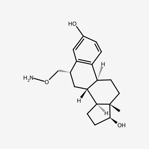 C[C@]12CC[C@@H]3c4ccc(O)cc4[C@@H](CON)C[C@H]3[C@@H]1CC[C@@H]2O